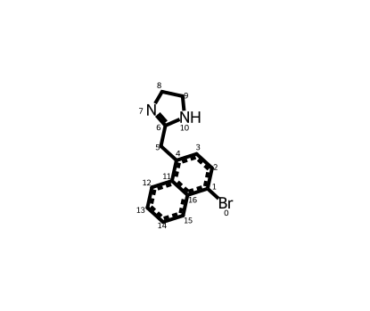 Brc1ccc(CC2=NCCN2)c2ccccc12